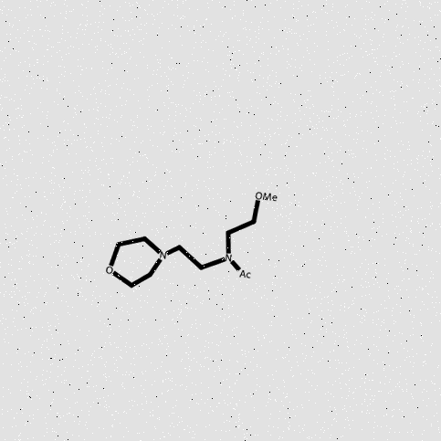 COCCN(CCN1CCOCC1)C(C)=O